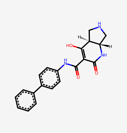 O=C(Nc1ccc(-c2ccccc2)cc1)C1=C(O)[C@H]2CNC[C@@H]2NC1=O